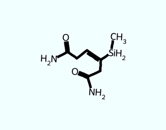 C[SiH2]C(=CCC(N)=O)CC(N)=O